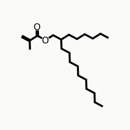 C=C(C)C(=O)OCC(CCCCCC)CCCCCCCCCC